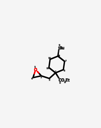 CCOC(=O)C1(CC2CO2)CCC(C(C)(C)C)CC1